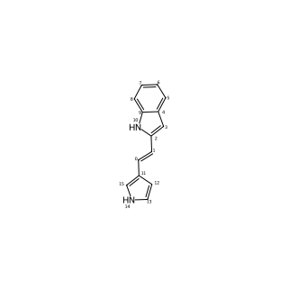 C(=Cc1cc2ccccc2[nH]1)c1cc[nH]c1